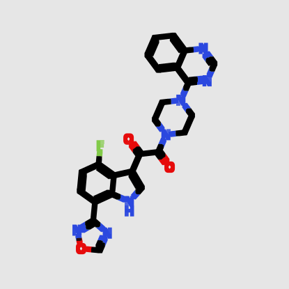 O=C(C(=O)N1CCN(c2ncnc3ccccc23)CC1)c1c[nH]c2c(-c3ncon3)ccc(F)c12